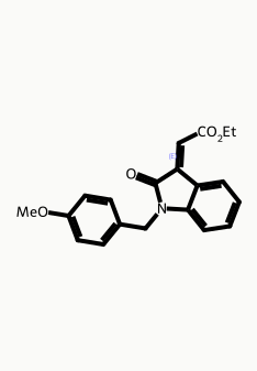 CCOC(=O)/C=C1/C(=O)N(Cc2ccc(OC)cc2)c2ccccc21